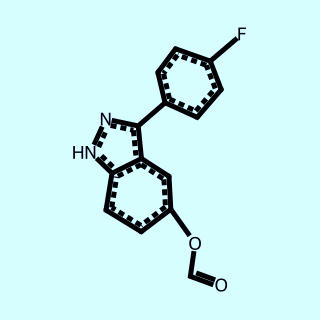 O=COc1ccc2[nH]nc(-c3ccc(F)cc3)c2c1